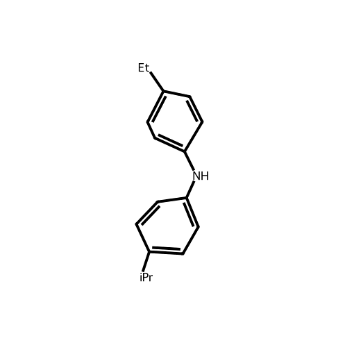 CCc1ccc(Nc2ccc(C(C)C)cc2)cc1